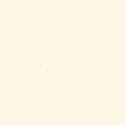 Cc1ccncc1N1C=CN(C)C1C